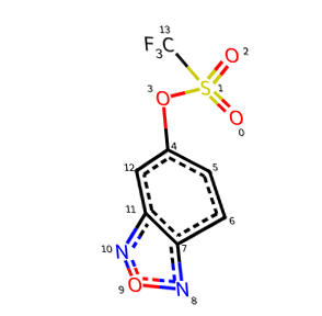 O=S(=O)(Oc1ccc2nonc2c1)C(F)(F)F